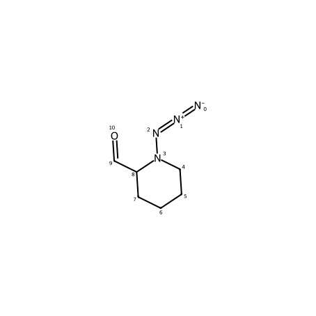 [N-]=[N+]=NN1CCCCC1C=O